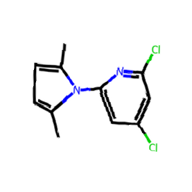 Cc1ccc(C)n1-c1cc(Cl)cc(Cl)n1